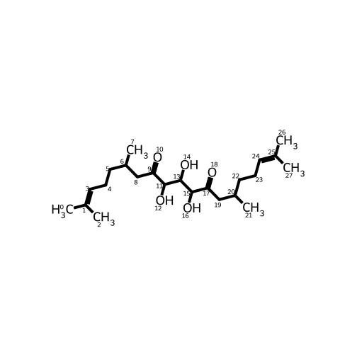 CC(C)=CCCC(C)CC(=O)C(O)C(O)C(O)C(=O)CC(C)CCC=C(C)C